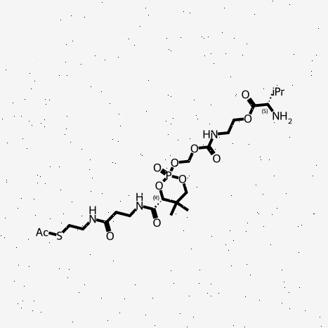 CC(=O)SCCNC(=O)CCNC(=O)[C@@H]1OP(=O)(OCOC(=O)NCCOC(=O)[C@@H](N)C(C)C)OCC1(C)C